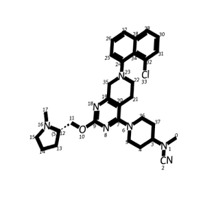 CN(C#N)C1CCN(c2nc(OC[C@@H]3CCCN3C)nc3c2CCN(c2cccc4cccc(Cl)c24)C3)CC1